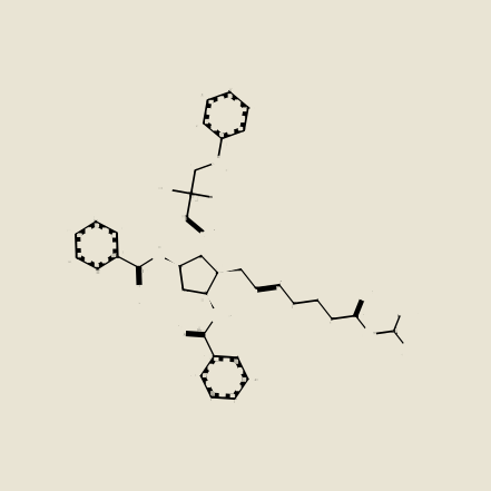 CC(C)OC(=O)CCCC=CC[C@@H]1[C@@H](C=CC(F)(F)COc2ccccc2)[C@H](OC(=O)c2ccccc2)C[C@@H]1OC(=O)c1ccccc1